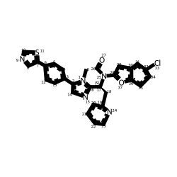 Cn1c(-c2ccc(-c3cncs3)cc2)cnc1[C@H](Cc1ccccn1)N(C=O)c1cc2cc(Cl)ccc2o1